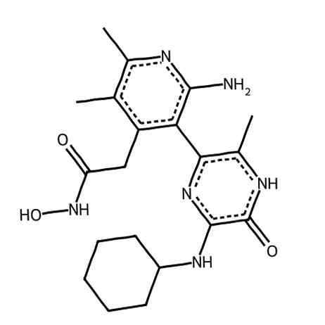 Cc1nc(N)c(-c2nc(NC3CCCCC3)c(=O)[nH]c2C)c(CC(=O)NO)c1C